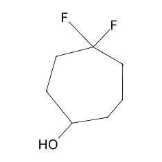 OC1CCCC(F)(F)CC1